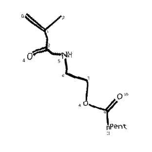 C=C(C)C(=O)NCCOC(=O)CCCCC